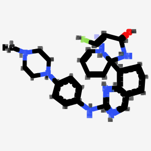 CN1CCN(c2ccc(Nc3ncc4cccc(C5(NC(=O)/C=C/F)C=CC=CN5)c4n3)cc2)CC1